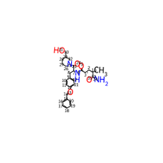 CC(C[CH]C(=O)NC(Cc1ccc(OCc2ccccc2)cc1)C(=O)N1CCCC(CO)C1)C(N)=O